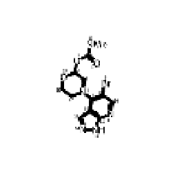 CNC(=O)OC1CN(c2c(Br)cnc3[nH]ncc23)CCO1